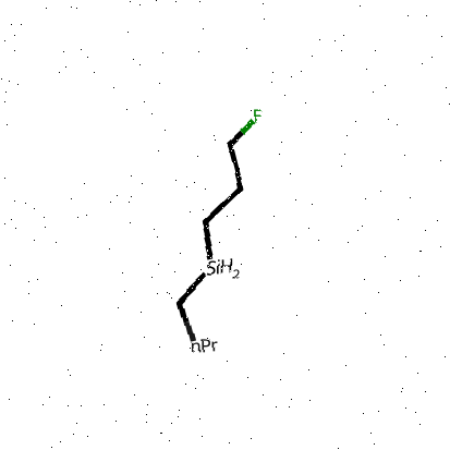 CCCC[SiH2]CCCF